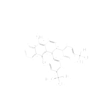 CC(C)(C)c1ccc(-c2ccc3c(N)c4ccccc4c(Br)c3c2-c2ccc(C(C)(C)C)cc2)cc1